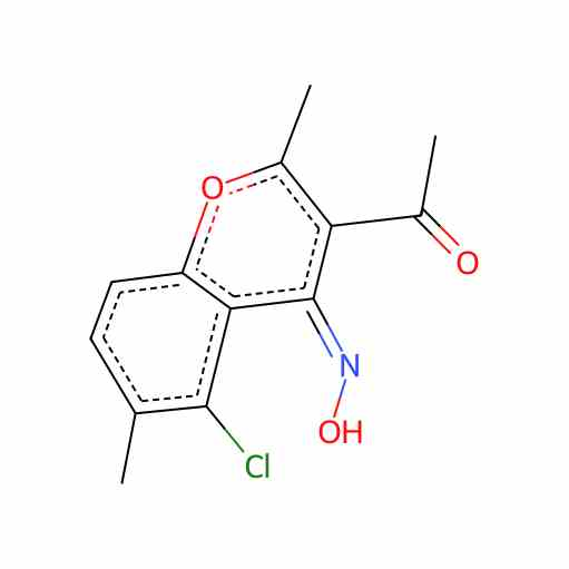 CC(=O)c1c(C)oc2ccc(C)c(Cl)c2/c1=N\O